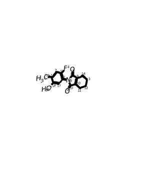 Cc1cc(F)c(N2C(=O)C3=C(CCCC3)C2=O)cc1O